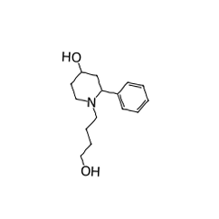 OCCCCN1CCC(O)CC1c1ccccc1